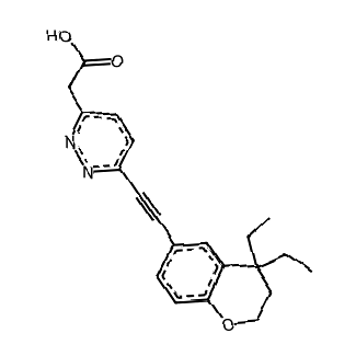 CCC1(CC)CCOc2ccc(C#Cc3ccc(CC(=O)O)nn3)cc21